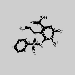 C=CCc1c(C(=O)O)cc(O)c(O)c1OS(=O)(=O)c1ccccc1